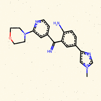 Cn1cnc(-c2ccc(N)c(C(=N)c3ccnc(N4CCOCC4)c3)c2)c1